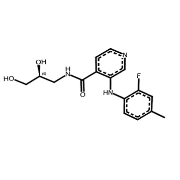 Cc1ccc(Nc2cnccc2C(=O)NC[C@H](O)CO)c(F)c1